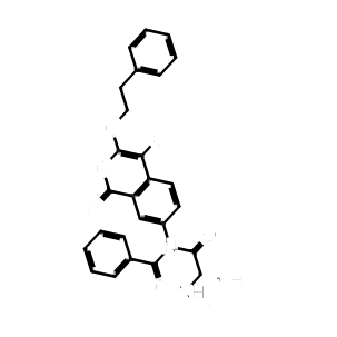 C[C@H](N)C(=O)N(C(=O)c1ccccc1)c1ccc2c(Cl)c(OCCc3ccccc3)oc(=O)c2c1